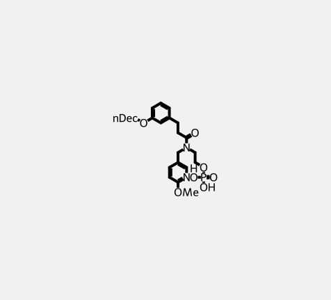 CCCCCCCCCCOc1cccc(CCC(=O)N(CCOP(=O)(O)O)Cc2ccc(OC)nc2)c1